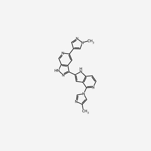 Cc1cn(-c2nccc3[nH]c(-c4n[nH]c5cnc(-c6cnn(C)c6)cc45)cc23)cn1